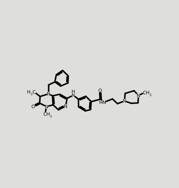 CC1C(=O)N(C)c2cnc(Nc3cccc(C(=O)NCCN4CCN(C)CC4)c3)cc2N1Cc1ccccc1